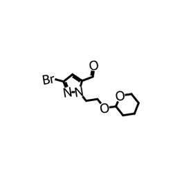 O=Cc1cc(Br)nn1CCOC1CCCCO1